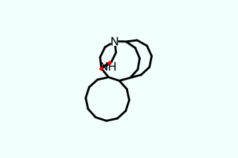 C1CCCCCC2C(CCCC1)C1CCCCCC(CCC1)N1CCC23NCCCC3C1